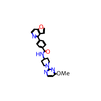 COc1ccnc(N2CCC(NC(=O)c3ccc(-c4nccc5occc45)cc3)CC2)n1